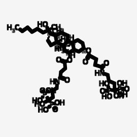 CCCCCC[C@](C)(O)[C@H]1CC[C@H]2[C@@H]3C[C@H](OC(=O)CCC(=O)NCCCC(O)(P(=O)(O)O)P(=O)(O)O)[C@H]4C[C@@H](OC(=O)CCC(=O)NCCCC(O)(P(=O)(O)O)P(=O)(O)O)CC[C@]4(C)[C@H]3CC[C@@]21C